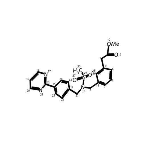 COC(=O)Cc1cccc(CN(Cc2ccc(-c3ncccn3)cc2)S(C)(=O)=O)c1